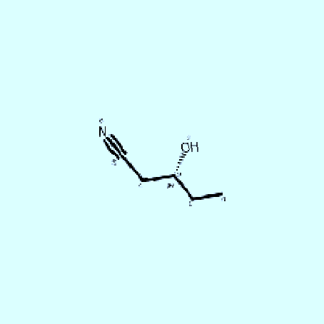 CC[C@@H](O)CC#N